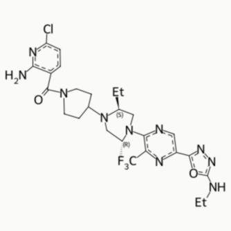 CCNc1nnc(-c2cnc(N3C[C@H](CC)N(C4CCN(C(=O)c5ccc(Cl)nc5N)CC4)C[C@H]3C)c(C(F)(F)F)n2)o1